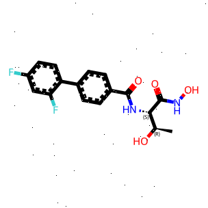 C[C@@H](O)[C@H](NC(=O)c1ccc(-c2ccc(F)cc2F)cc1)C(=O)NO